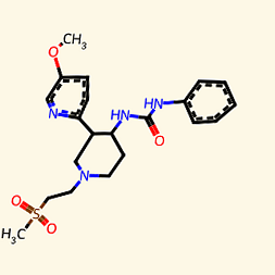 COc1ccc(C2CN(CCS(C)(=O)=O)CCC2NC(=O)Nc2ccccc2)nc1